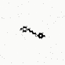 Cc1ccc(OCCCCCN2CCN(C)CC2)cc1